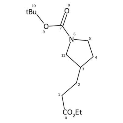 CCOC(=O)CCC1CCN(C(=O)OC(C)(C)C)C1